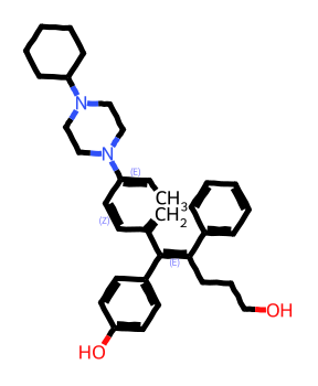 C=C(/C=C\C(=C/C)N1CCN(C2CCCCC2)CC1)/C(=C(/CCCO)c1ccccc1)c1ccc(O)cc1